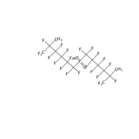 CC(F)(C(F)(F)F)C(F)(F)C(F)(F)C(F)(F)C(F)(F)P(=O)(O)C(F)(F)C(F)(F)C(F)(F)C(F)(F)C(C)(F)C(F)(F)F